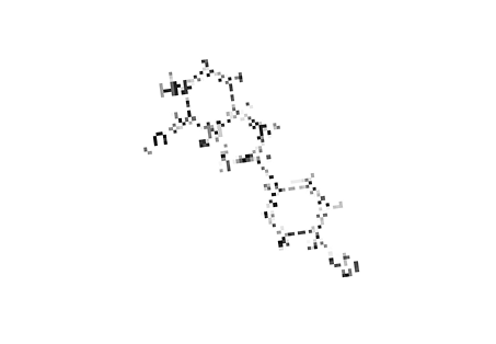 O=c1[nH]ccc2nc(-c3ccc(C(F)(F)F)cc3)cn12